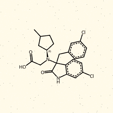 CC1CC[C@@H](N(CC(=O)O)C2(Cc3cccc(Cl)c3)C(=O)Nc3cc(Cl)ccc32)C1